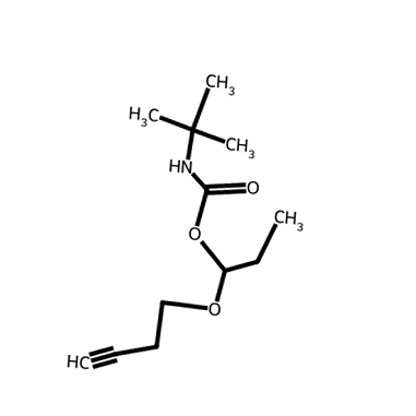 C#CCCOC(CC)OC(=O)NC(C)(C)C